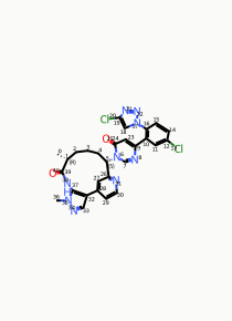 C[C@@H]1CCC[C@H](n2cnc(-c3cc(Cl)ccc3-n3cc(Cl)nn3)cc2=O)c2cc(ccn2)-c2cnn(C)c2NC1=O